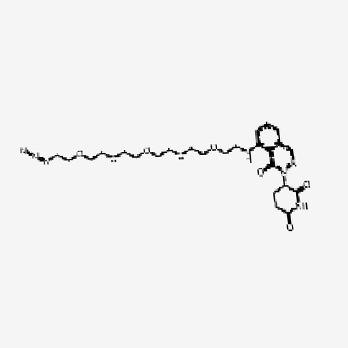 [N-]=[N+]=NCCOCCOCCOCCOCCOCCNc1cccc2cnn(C3CCC(=O)NC3=O)c(=O)c12